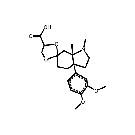 COc1ccc([C@]23CCN(C)[C@@]2(C)CC2(CC3)OCC(C(=O)O)O2)cc1OC